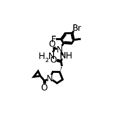 Cc1cc(N(NC(=O)C[C@@H]2CCN(C(=O)C3CC3)C2)C(N)=O)c(F)cc1Br